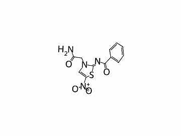 NC(=O)Cn1cc([N+](=O)[O-])sc1=NC(=O)c1ccccc1